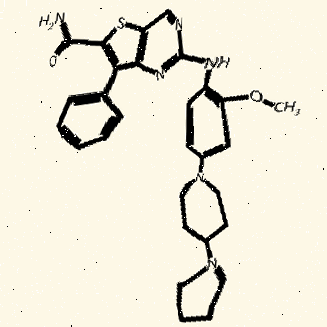 COc1cc(N2CCC(N3CCCC3)CC2)ccc1Nc1ncc2sc(C(N)=O)c(-c3ccccc3)c2n1